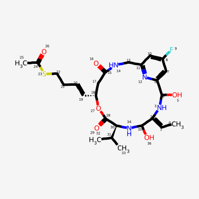 C/C=C1\NC(O)c2cc(F)cc(n2)CNC(=O)C[C@@H](/C=C/CCSC(C)=O)OC(=O)[C@H](C(C)C)NC1O